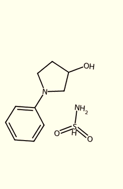 N[SH](=O)=O.OC1CCN(c2ccccc2)C1